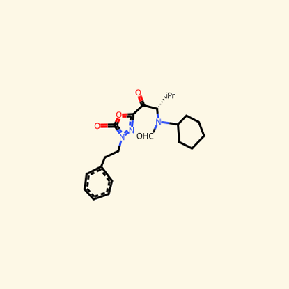 CC(C)[C@@H](C(=O)c1nn(CCc2ccccc2)c(=O)o1)N(C=O)C1CCCCC1